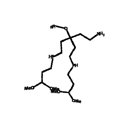 CCCOC(CCN)(CCPCCC(OC)OC)CCPCCC(OC)OC